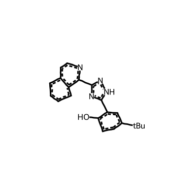 CC(C)(C)c1ccc(O)c(-c2nc(-c3nccc4ccccc34)n[nH]2)c1